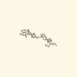 CC(C)c1noc(N2CCC([C@H](C)CCOc3cnc(N4C[C@H](c5cc(F)c(F)cc5F)[C@@H](N)C4)nc3)CC2)n1